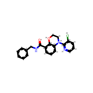 O=C(NCc1ccccc1)c1cccc2c1OCCN2c1ncccc1Cl